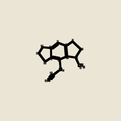 CC1CCc2cc3c(c(OC#N)c21)CCC3